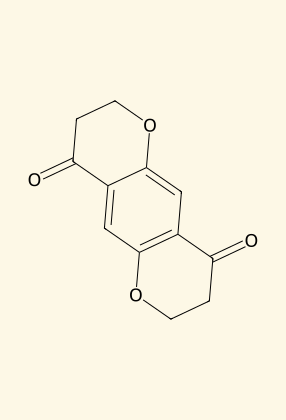 O=C1CCOc2cc3c(cc21)OCCC3=O